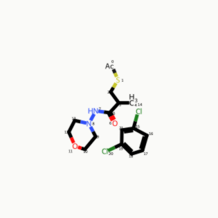 CC(=O)SCC(C)C(=O)NN1CCOCC1.Clc1cccc(Cl)c1